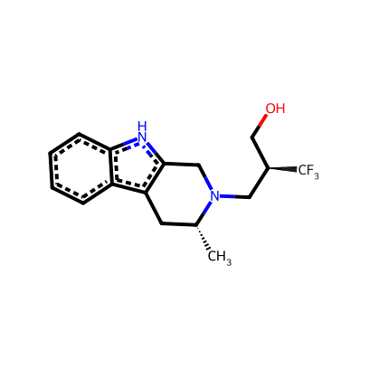 C[C@@H]1Cc2c([nH]c3ccccc23)CN1C[C@@H](CO)C(F)(F)F